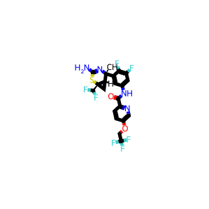 C[C@@]1(c2cc(NC(=O)c3ccc(OCC(F)(F)F)cn3)cc(F)c2F)N=C(N)S[C@@]2(C(F)F)C[C@@H]12